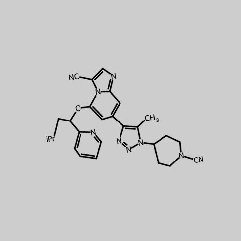 Cc1c(-c2cc(OC(CC(C)C)c3ccccn3)n3c(C#N)cnc3c2)nnn1C1CCN(C#N)CC1